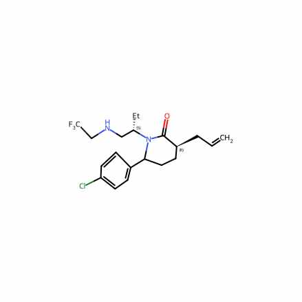 C=CC[C@H]1CCC(c2ccc(Cl)cc2)N([C@@H](CC)CNCC(F)(F)F)C1=O